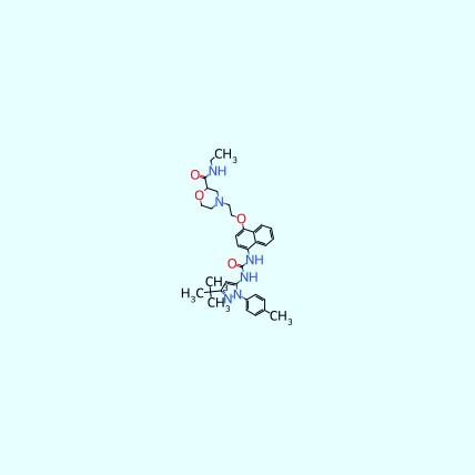 CCNC(=O)C1CN(CCOc2ccc(NC(=O)Nc3cc(C(C)(C)C)nn3-c3ccc(C)cc3)c3ccccc23)CCO1